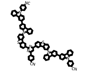 [C-]#[N+]c1ccc(-n2c3ccccc3c3cc(-c4ccc5c(c4)c4ccccc4n5-c4ccc5sc6ccc(-c7nc(-c8ccc(C#N)cc8)cc(-c8ccc9sc%10ccc(-n%11c%12ccccc%12c%12cc(-c%13ccc%14c(c%13)c%13ccccc%13n%14-c%13ccc(C#N)cc%13)ccc%12%11)cc%10c9c8)n7)cc6c5c4)ccc32)cc1